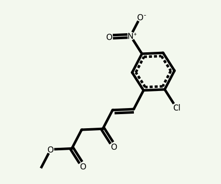 COC(=O)CC(=O)C=Cc1cc([N+](=O)[O-])ccc1Cl